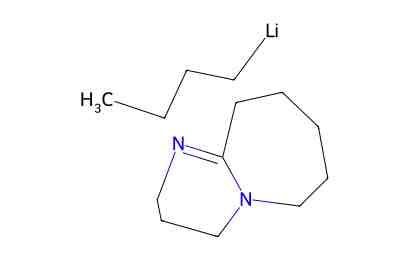 C1CCC2=NCCCN2CC1.[Li][CH2]CCC